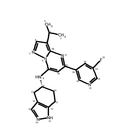 CC(C)c1cnn2c(N[C@@H]3CCc4[nH]ncc4C3)cc(-c3cncc(F)c3)nc12